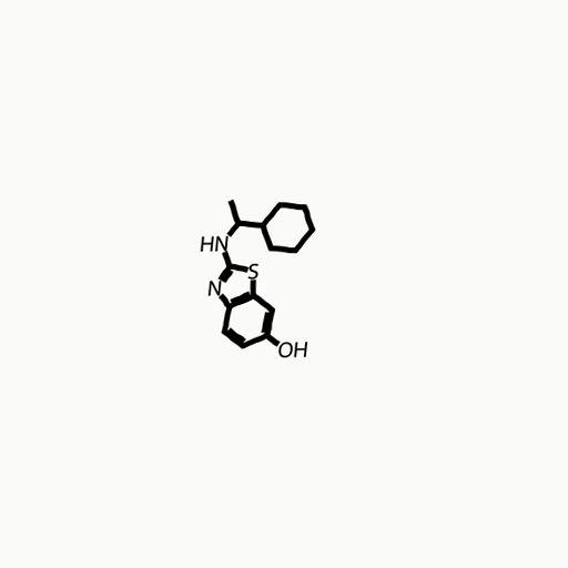 CC(Nc1nc2ccc(O)cc2s1)C1CCCCC1